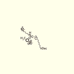 CCCCCCCCCCCCCCCC[C@@H]1CO[C@@H](COC(=O)NCCCCC[n+]2ccsc2)C1.Cc1ccc(S(=O)(=O)[O-])cc1